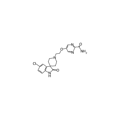 NC(=O)c1ncc(OCCN2CCC3(CC2)C(=O)Nc2ccc(Cl)cc23)cn1